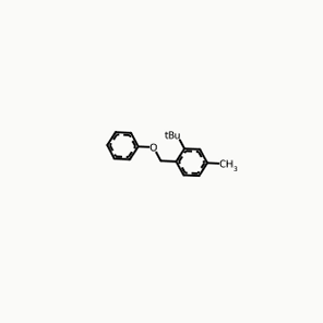 Cc1ccc(COc2ccccc2)c(C(C)(C)C)c1